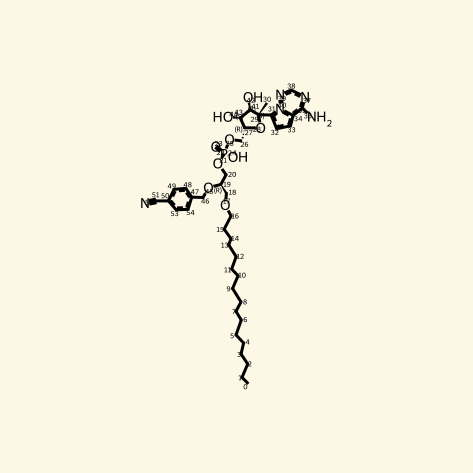 CCCCCCCCCCCCCCCCCOC[C@H](COP(=O)(O)OC[C@H]1O[C@@](C)(c2ccc3c(N)ncnn23)[C@H](O)[C@@H]1O)OCc1ccc(C#N)cc1